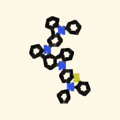 c1ccc(N2c3ccccc3Sc3cc(-n4c5ccccc5c5c4ccc4c6ccccc6n(-c6ccc7c(c6)c6ccccc6n7-c6ccccc6)c45)ccc32)cc1